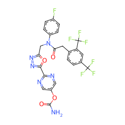 NC(=O)Oc1cnc(-c2nnc(CN(C(=O)Cc3ccc(C(F)(F)F)cc3C(F)(F)F)c3ccc(F)cc3)o2)nc1